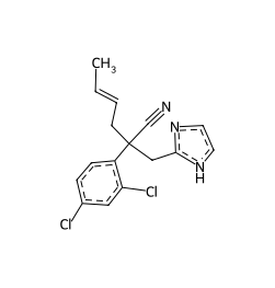 C/C=C/CC(C#N)(Cc1ncc[nH]1)c1ccc(Cl)cc1Cl